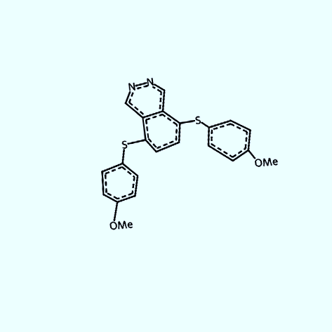 COc1ccc(Sc2ccc(Sc3ccc(OC)cc3)c3cnncc23)cc1